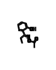 CCC(=NOC(C)=O)c1ccccc1O